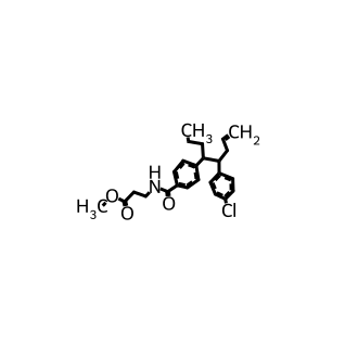 C=CCC(c1ccc(Cl)cc1)C(CCC)c1ccc(C(=O)NCCC(=O)OC)cc1